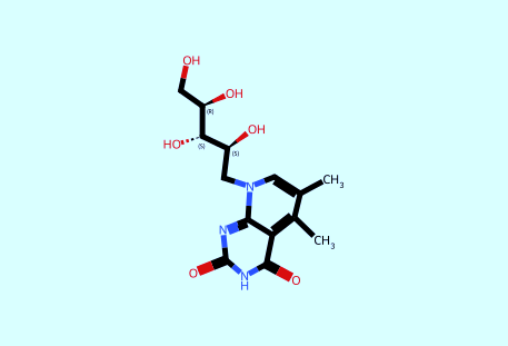 Cc1cn(C[C@H](O)[C@H](O)[C@H](O)CO)c2nc(=O)[nH]c(=O)c-2c1C